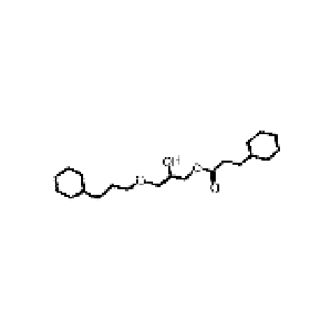 O=C(CCC1CCCCC1)OCC(O)COCCCC1CCCCC1